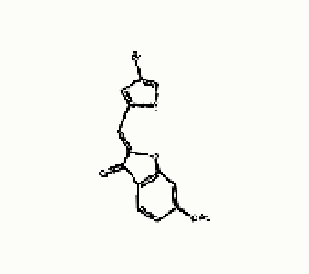 CC(=O)Oc1ccc2c(c1)O/C(=C\c1cc(Br)cs1)C2=O